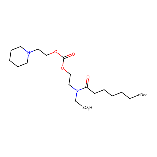 CCCCCCCCCCCCCCCC(=O)N(CCOC(=O)OCCN1CCCCC1)CS(=O)(=O)O